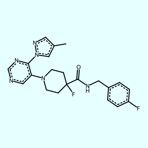 Cc1cnn(-c2ncncc2N2CCC(F)(C(=O)NCc3ccc(F)cc3)CC2)c1